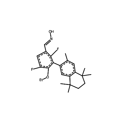 CCOc1c(F)cc(C=NO)c(F)c1-c1cc2c(cc1C)C(C)(C)CCC2(C)C